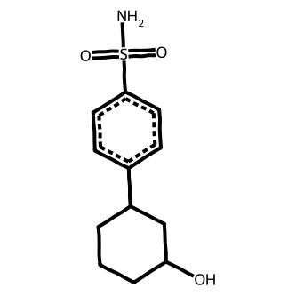 NS(=O)(=O)c1ccc(C2CCCC(O)C2)cc1